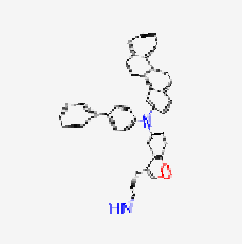 N=C/C=C\c1coc2ccc(N(c3ccc(-c4ccccc4)cc3)c3ccc4ccc5c6ccccc6ccc5c4c3)cc12